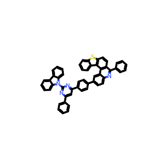 c1ccc(-c2cc(-c3ccc(-c4ccc5nc(-c6ccccc6)c6ccc7sc8ccccc8c7c6c5c4)cc3)nc(-n3c4ccccc4c4ccccc43)n2)cc1